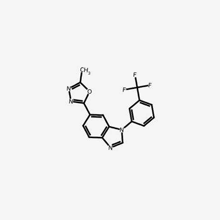 Cc1nnc(-c2ccc3ncn(-c4cccc(C(F)(F)F)c4)c3c2)o1